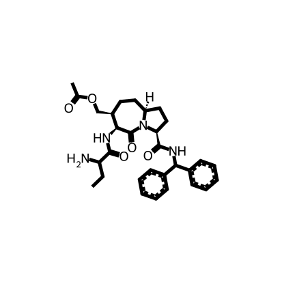 CCC(N)C(=O)N[C@@H]1C(=O)N2[C@@H](CC[C@@H]1COC(C)=O)CC[C@H]2C(=O)NC(c1ccccc1)c1ccccc1